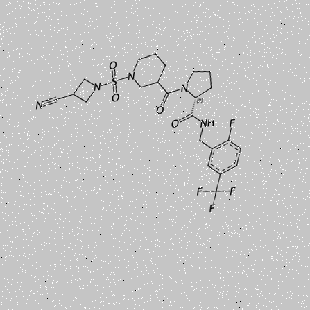 N#CC1CN(S(=O)(=O)N2CCCC(C(=O)N3CCC[C@@H]3C(=O)NCc3cc(C(F)(F)F)ccc3F)C2)C1